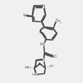 Cc1ccc(NC(=O)N2C[C@H]3C[C@@H]2CN3)cc1-c1cncc(F)c1